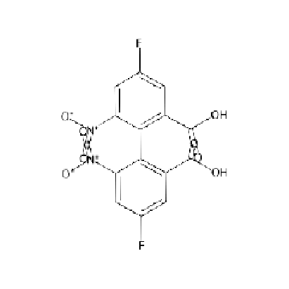 O=C(O)c1cc(F)cc([N+](=O)[O-])c1-c1c(C(=O)O)cc(F)cc1[N+](=O)[O-]